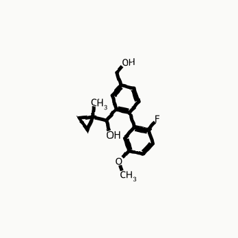 COc1ccc(F)c(-c2ccc(CO)cc2C(O)C2(C)CC2)c1